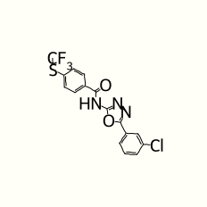 O=C(Nc1nnc(-c2cccc(Cl)c2)o1)c1ccc(SC(F)(F)F)cc1